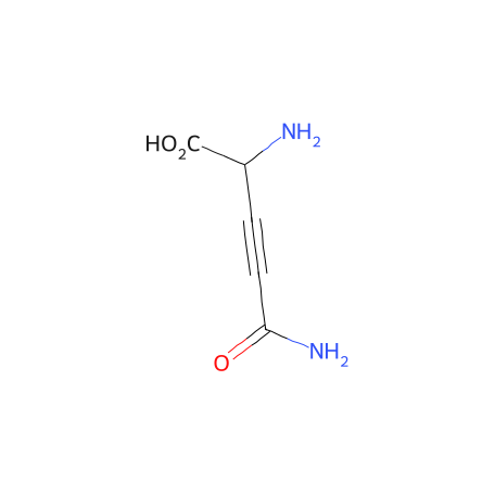 NC(=O)C#CC(N)C(=O)O